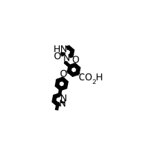 Cc1ccc(-c2ccc(Oc3cc(C(=O)O)ccc3Cn3c(=O)cc[nH]c3=O)cc2)nn1